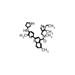 CCn1ncc(CN(C)C(=O)c2cc(-c3ccc(NC4CCNC4)c(C)n3)nc3ccc(C)cc23)c1C